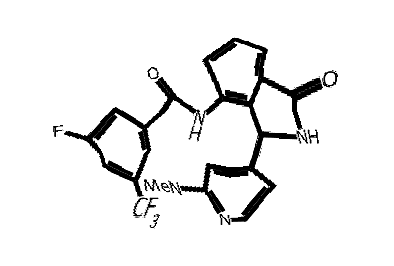 CNc1cc(C2NC(=O)c3cccc(NC(=O)c4cc(F)cc(C(F)(F)F)c4)c32)ccn1